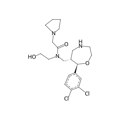 O=C(CN1CCCC1)N(CCO)C[C@@H]1CNCCO[C@H]1c1ccc(Cl)c(Cl)c1